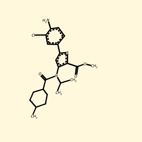 COC(=O)c1sc(-c2ccc(N)c(Cl)c2)cc1N(C(=O)C1CCC(C)CC1)C(C)C